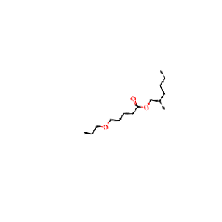 CCCCC(C)COC(=O)CCCCOCCC